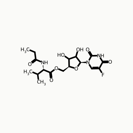 CCC(=O)N[C@H](C(=O)OC[C@@H]1O[C@H](n2cc(F)c(=O)[nH]c2=O)C(O)C1O)C(C)C